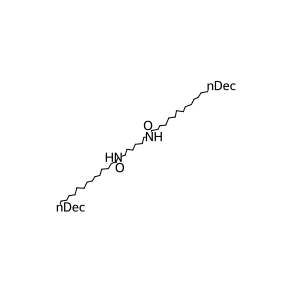 CCCCCCCCCCCCCCCCCCCCCCCC(=O)NCCCCCCNC(=O)CCCCCCCCCCCCCCCCCCCCCCC